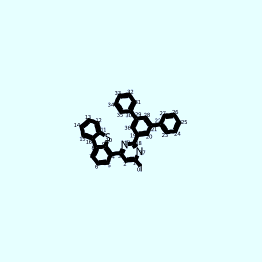 Ic1cc(-c2cccc3c2sc2ccccc23)nc(-c2cc(-c3ccccc3)cc(-c3ccccc3)c2)n1